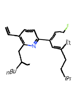 C=Cc1ccc(C(/C=C(\CC)CCC(C)C)=C/CF)nc1CC(C)CCCC